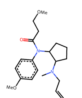 C=CCN(C)C1CCCC1N(C(=O)CCOC)c1ccc(OC)cc1